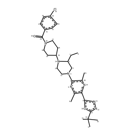 CCC1CN(c2nc(C)c(-c3nnc(C(C)(C)C)o3)nc2C)CCN1C1CCN(C(=O)c2ccc(Cl)cc2)CC1